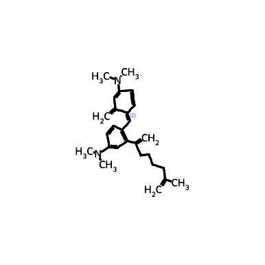 C=C(C)CCCCC(=C)c1cc(N(C)C)ccc1/C=c1/ccc(N(C)C)cc1=C